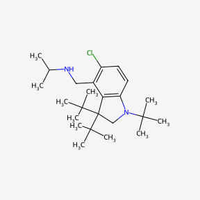 CC(C)NCc1c(Cl)ccc2c1C(C(C)(C)C)(C(C)(C)C)CN2C(C)(C)C